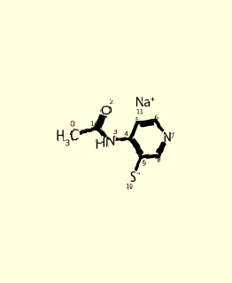 CC(=O)Nc1ccncc1[S-].[Na+]